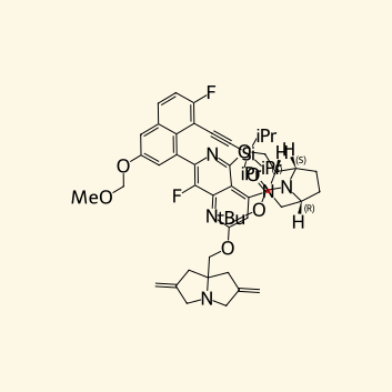 C=C1CN2CC(=C)CC2(COc2cc3c4c(nc(-c5cc(OCOC)cc6ccc(F)c(C#C[Si](C(C)C)(C(C)C)C(C)C)c56)c(F)c4n2)OC[C@@H]2[C@@H]4CC[C@H](CN32)N4C(=O)OC(C)(C)C)C1